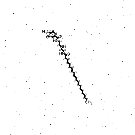 CCC=CCC=CCC=CCC=CCC=CCC=CCCC(=O)NCCNCCNC(=O)c1c[n+]([O-])c(C)cn1